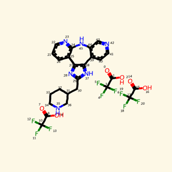 O=C(O)C(F)(F)F.O=C(O)C(F)(F)F.O=C(O)C(F)(F)F.c1cnc2c(c1)-c1nc(CC3CCCNC3)[nH]c1-c1ccncc1N2